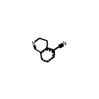 N#Cc1cccc2c1CCN=C2